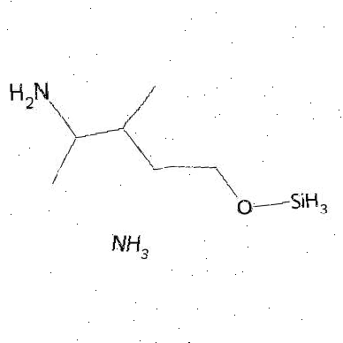 CC(N)C(C)CCO[SiH3].N